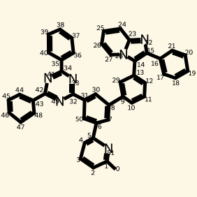 Cc1cccc(-c2cc(-c3cccc(-c4c(-c5ccccc5)nc5ccccn45)c3)cc(-c3nc(-c4ccccc4)nc(-c4ccccc4)n3)c2)n1